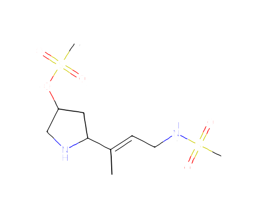 CC(=CCNS(C)(=O)=O)C1CC(OS(C)(=O)=O)CN1